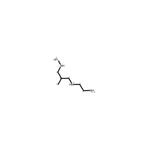 CCCNCC(C)CNCCN